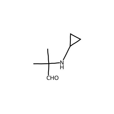 CC(C)(C=O)NC1CC1